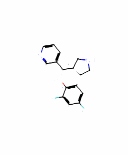 CCc1cc(F)cc(F)c1O[C@H](c1cccnc1)[C@@H]1CCNC1